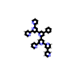 c1ccc(-c2cc(-c3cc(-c4ccccn4)nc(-c4ccccn4)c3)nc(-c3cc(-c4ccccn4)nc(-c4cc(-c5cccnc5)ccn4)c3)c2)cc1